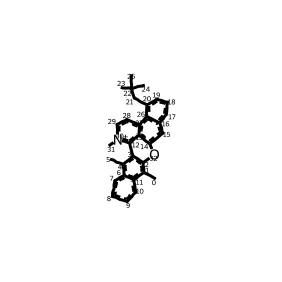 Cc1c2c(c(C)c3ccccc13)-c1c3c(cc4cccc(CC(C)(C)C)c4c3cc[n+]1C)O2